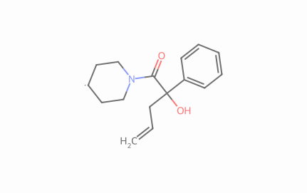 C=CCC(O)(C(=O)N1CC[CH]CC1)c1ccccc1